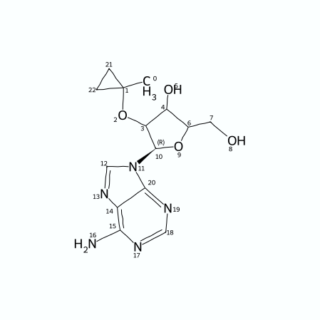 CC1(OC2C(O)C(CO)O[C@H]2n2cnc3c(N)ncnc32)CC1